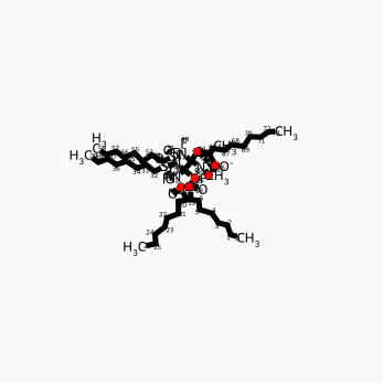 CCCCCCCCS(=O)(=O)N(F)C(N(F)S(=O)(=O)CCCCCCCC)(N(F)S(=O)(=O)CCCCCCCC)C(C=C(C)C(=O)[O-])(N(F)S(=O)(=O)CCCCCCCC)[N+](C)(F)S(=O)(=O)CCCCCCCC